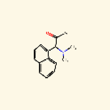 CC(C)C(=O)C(c1cccc2ccccc12)N(C)C